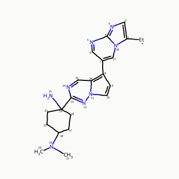 CCc1cnc2ncc(-c3ccn4nc(C5(N)CCC(N(C)C)CC5)ncc34)cn12